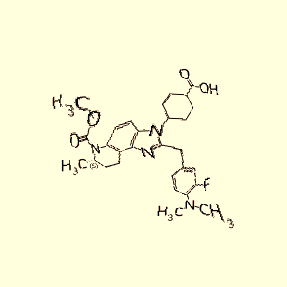 COC(=O)N1c2ccc3c(nc(Cc4ccc(N(C)C)c(F)c4)n3C3CCC(C(=O)O)CC3)c2CC[C@@H]1C